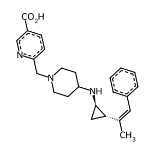 CC(=Cc1ccccc1)[C@@H]1C[C@H]1NC1CCN(Cc2ccc(C(=O)O)cn2)CC1